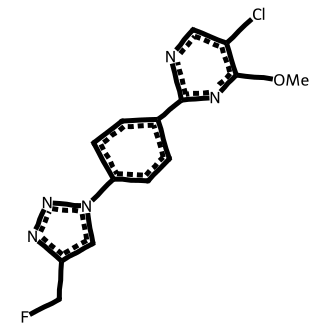 COc1nc(-c2ccc(-n3cc(CF)nn3)cc2)ncc1Cl